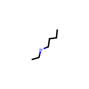 CCCC[N+]CC